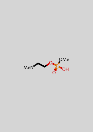 CNCCOP(=O)(O)OC